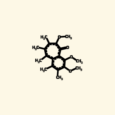 COc1c(C)c(C)c2c(C)c(C)c(C)c(OC)c(=O)c2c1OC